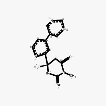 CN1C(=N)N[C@](C)(c2cc(-c3cncnc3)ccn2)CC1=O